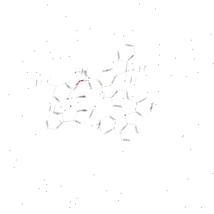 CC1C=CC2(C)C3=C1CC=C(c1cc4c(cc1N(c1ccc5c(c1)C(c1ccccc1)(c1ccccc1)c1ccccc1-5)c1ccc5c(c1)C2(c1ccccc1)c1ccccc1-5)C(C)(C)c1ccccc1-4)C3C